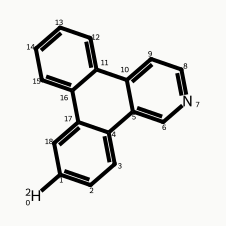 [2H]c1ccc2c3cnccc3c3ccccc3c2c1